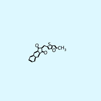 Cc1cc2sc(C=C3C(=O)c4cc5ccccc5cc4C3=O)cc2o1